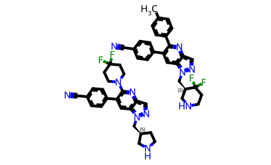 Cc1ccc(-c2nc3cnn(C[C@@H]4CNCCC4(F)F)c3cc2-c2ccc(C#N)cc2)cc1.N#Cc1ccc(-c2cc3c(cnn3C[C@H]3CCNC3)nc2N2CCC(F)(F)CC2)cc1